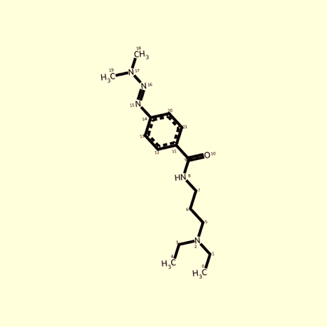 CCN(CC)CCCNC(=O)c1ccc(N=NN(C)C)cc1